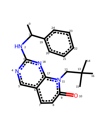 CC(Nc1ncc2ccc(=O)n(CC(C)(C)C)c2n1)c1ccccc1